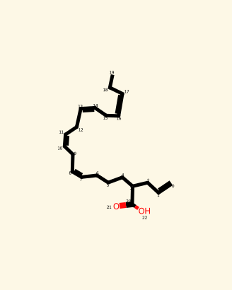 C=CCC(CCC/C=C\C/C=C\C/C=C\C/C=C\CC)C(=O)O